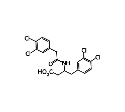 O=C(O)CC(Cc1ccc(Cl)c(Cl)c1)NC(=O)Cc1ccc(Cl)c(Cl)c1